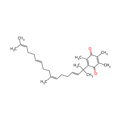 CC(C)=CCCC=CCCC(C)=CCCC=CC(C)(C)C1=C(C)C(=O)C(C)=C(C)C1=O